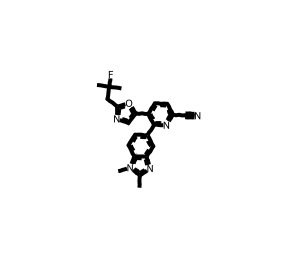 Cc1nc2cc(-c3nc(C#N)ccc3-c3cnc(CC(C)(C)F)o3)ccc2n1C